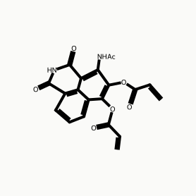 C=CC(=O)Oc1c(NC(C)=O)c2c3c(cccc3c1OC(=O)C=C)C(=O)NC2=O